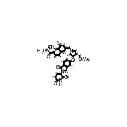 COC[C@@H]1CN(Cc2cc(F)c3nc(C(=O)N(C)C)ccc3c2)C[C@H]1Oc1ccc2c(c1)CN([C@H]1CCC(=O)NC1=O)C2=O